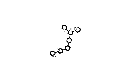 c1ccc(-c2ccc(-c3cccc(-c4ccc(-c5cc(-c6ccccn6)nc(-c6ccccn6)c5)cc4)c3)cn2)nc1